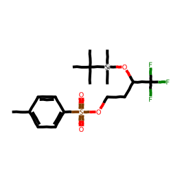 Cc1ccc(S(=O)(=O)OCCC(O[Si](C)(C)C(C)(C)C)C(F)(F)F)cc1